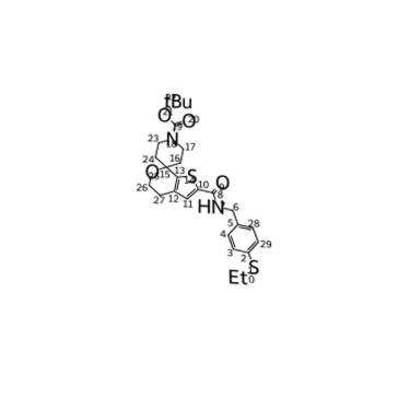 CCSc1ccc(CNC(=O)c2cc3c(s2)C2(CCN(C(=O)OC(C)(C)C)CC2)OCC3)cc1